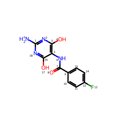 Nc1nc(O)c(NC(=O)c2ccc(F)cc2)c(O)n1